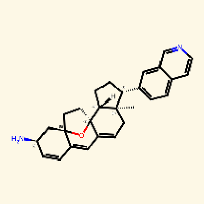 C[C@]12CC=C3C=C4C=C[C@@H](N)C[C@]45CC[C@]3(O5)[C@@H]1CC[C@@H]2c1ccc2ccncc2c1